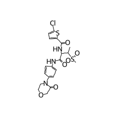 CC(C(NC(=O)c1ccc(Cl)s1)C(=O)Nc1ccc(N2CCOCC2=O)cc1)S(C)(=O)=O